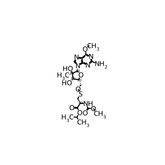 COC(=O)N[C@H](CSOC[C@H]1O[C@@H](n2cnc3c(OC)nc(N)nc32)[C@](C)(O)[C@@H]1O)C(=O)OC(C)C